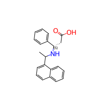 CC(N[C@@H](CC(=O)O)c1ccccc1)c1cccc2ccccc12